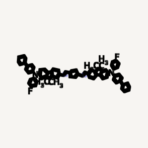 CC1(C)c2cc(/C=C/c3ccc(/C=C/c4ccc5c(c4)C(C)(C)c4cc(N(c6ccc(F)cc6)c6ccc(-c7ccccc7)cc6)ccc4-5)cc3)ccc2-c2ccc(N(c3ccc(F)cc3)c3ccc(-c4ccccc4)cc3)cc21